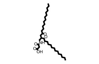 CCCCCCCCCCCCCC(=O)CC(CNC(=O)CC(=O)O)C(=O)CCCCCCCCCCCCC